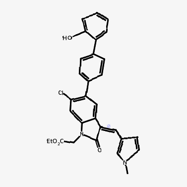 CCOC(=O)CN1C(=O)/C(=C\c2ccn(C)c2)c2cc(-c3ccc(-c4ccccc4O)cc3)c(Cl)cc21